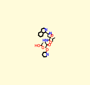 CC(C)[C@]1(C(=O)N[C@@H](CC(=O)O)C(=O)COc2ccccn2)CC(c2nccc3ccccc23)=NO1